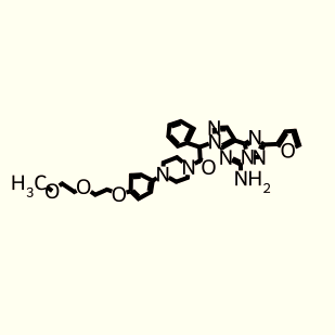 COCCOCCOc1ccc(N2CCN(C(=O)C(c3ccccc3)n3ncc4c3nc(N)n3nc(-c5ccco5)nc43)CC2)cc1